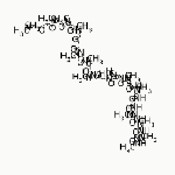 CC(=O)Nc1cn(C)c(C(=O)Nc2cc(C(=O)Nc3cn(C)c(C(=O)NCCC(=O)Nc4cc(C(=O)Nc5cc(C(=O)Nc6cc(C(=O)NCCCC(=O)Cc7cn(C)c(C(=O)Cc8cc(C(=O)Cc9cn(C)c(C(=O)CCCC(=O)Cc%10cc(C(=O)Cc%11cc(C(=O)Cc%12cc(C(=O)CCCC(=O)CCCCN(C)C)n(C)c%12)n(C)c%11)n(C)c%10)n9)n(C)c8)n7)n(C)c6)n(C)c5)n(C)c4)n3)n(C)c2)n1